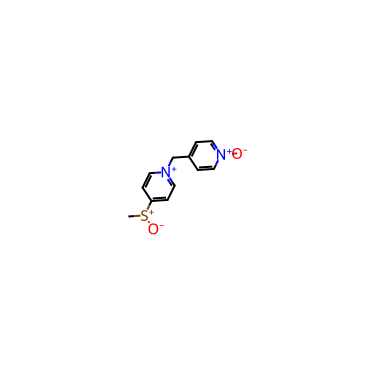 C[S+]([O-])c1cc[n+](Cc2cc[n+]([O-])cc2)cc1